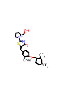 COc1cc(C=C2SC(N3CCC[C@H]3CO)=NC2=O)ccc1OCc1ccc(C(F)(F)F)cc1C(F)(F)F